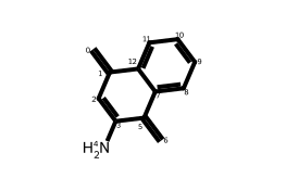 C=c1cc(N)c(=C)c2ccccc12